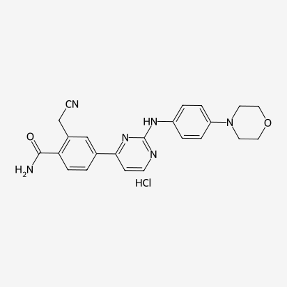 Cl.N#CCc1cc(-c2ccnc(Nc3ccc(N4CCOCC4)cc3)n2)ccc1C(N)=O